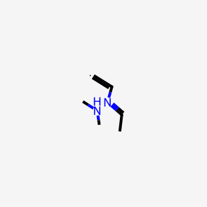 CNC.[CH]=CN=CC